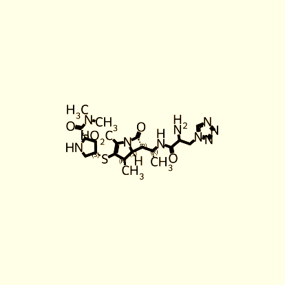 C[C@@H](NC(=O)C(N)Cn1cnnn1)[C@H]1C(=O)N2C(C(=O)O)=C(S[C@@H]3CN[C@H](C(=O)N(C)C)C3)[C@H](C)[C@H]12